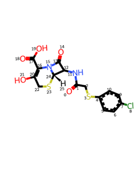 O=C(CSc1ccc(Cl)cc1)NC1C(=O)N2C(C(=O)O)=C(O)CS[C@@H]12